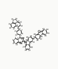 c1ccc2c(-c3ccc(-c4ccc5c6c(cccc46)CC5)cc3)nc(-n3c4ccccc4c4cc(-c5ccc6c(c5)oc5ccccc56)ccc43)nc2c1